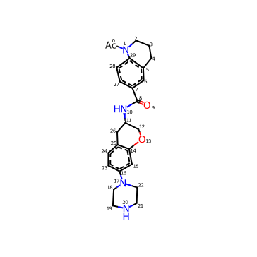 CC(=O)N1CCCc2cc(C(=O)N[C@H]3COc4cc(N5CCNCC5)ccc4C3)ccc21